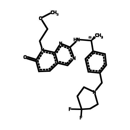 COCCn1c(=O)ccc2cnc(N[C@@H](C)c3ccc(CN4CCC(F)(F)CC4)cc3)nc21